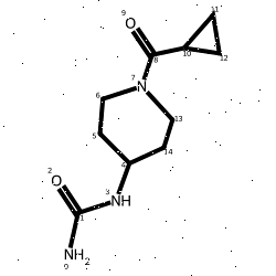 NC(=O)NC1CCN(C(=O)C2CC2)CC1